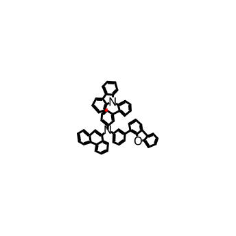 c1cc(-c2ccccc2-n2c3ccccc3c3ccccc32)cc(N(c2cccc(-c3cccc4c3oc3ccccc34)c2)c2cc3ccccc3c3ccccc23)c1